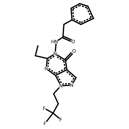 CCc1nc2c(cnn2CCC(F)(F)F)c(=O)n1NC(=O)Cc1ccccc1